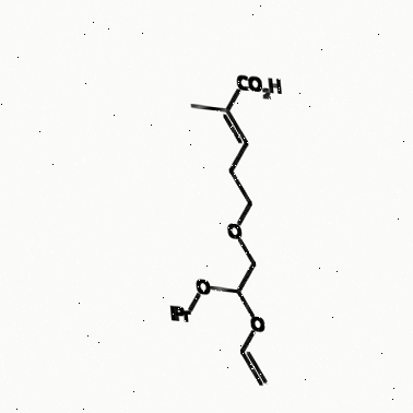 C=COC(COCCC=C(C)C(=O)O)OC(C)C